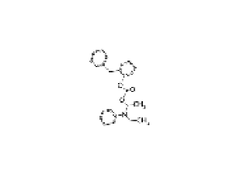 CCN(c1ccccc1)C(C)OC(=O)Oc1ccccc1Cc1ccccc1